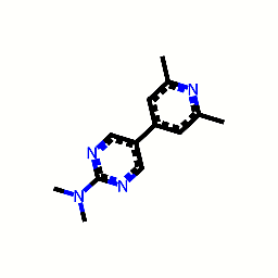 Cc1cc(-c2cnc(N(C)C)nc2)cc(C)n1